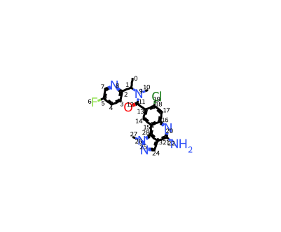 CC(c1ccc(F)cn1)N(C)C(=O)c1cc2c(cc1Cl)nc(N)c1cnn(C)c12